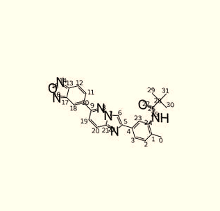 Cc1ccc(-c2cn3nc(-c4ccc5nonc5c4)ccc3n2)cc1NC(=O)C(C)(C)C